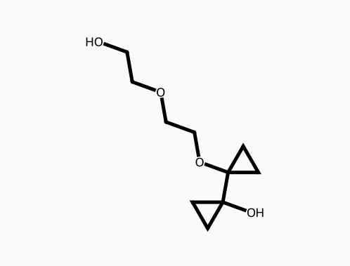 OCCOCCOC1(C2(O)CC2)CC1